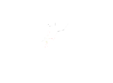 CCCOS(C)(=O)=O.[NaH]